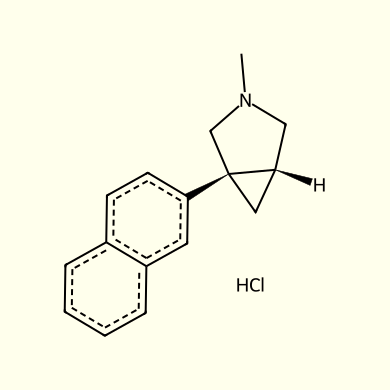 CN1C[C@@H]2C[C@]2(c2ccc3ccccc3c2)C1.Cl